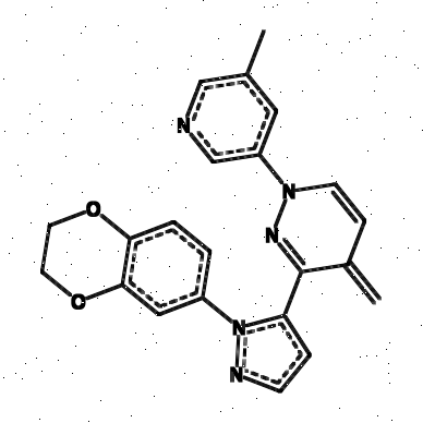 C=C1C=CN(c2cncc(C)c2)N=C1c1ccnn1-c1ccc2c(c1)OCCO2